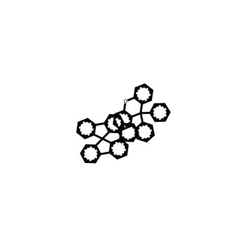 c1ccc(C2(c3ccccc3)c3ccccc3Oc3ccc(-c4cccc5c4C4(c6ccccc6-5)c5ccccc5-c5ccc6ccccc6c54)cc32)cc1